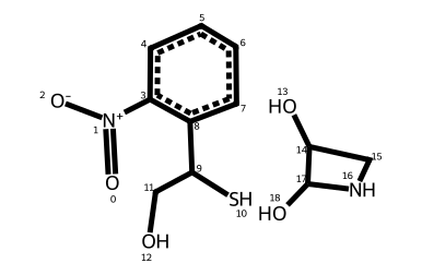 O=[N+]([O-])c1ccccc1C(S)CO.OC1CNC1O